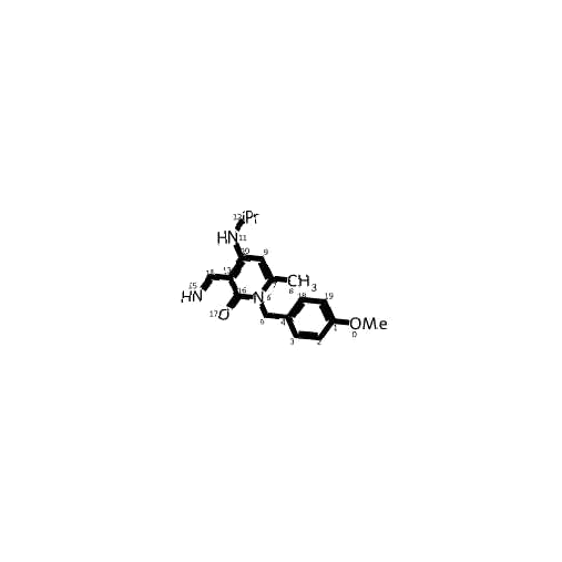 COc1ccc(Cn2c(C)cc(NC(C)C)c(C=N)c2=O)cc1